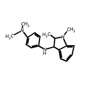 CC1C(Nc2ccc(N(C)C)cc2)c2ccccc2N1C